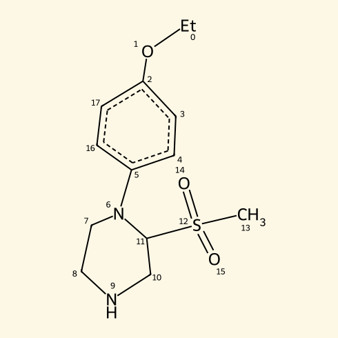 CCOc1ccc(N2CCNCC2S(C)(=O)=O)cc1